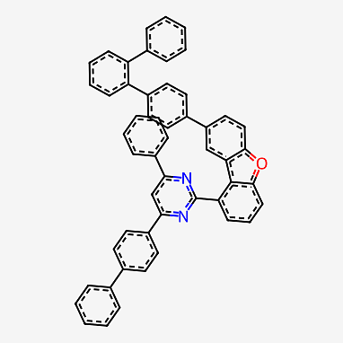 c1ccc(-c2ccc(-c3cc(-c4ccccc4)nc(-c4cccc5oc6ccc(-c7ccc(-c8ccccc8-c8ccccc8)cc7)cc6c45)n3)cc2)cc1